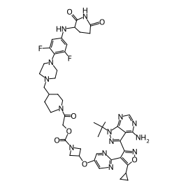 CC(C)(C)n1nc(-c2noc(C3CC3)c2-c2ncc(OC3CN(C(=O)OCC(=O)N4CCC(CN5CCN(c6c(F)cc(NC7CCC(=O)NC7=O)cc6F)CC5)CC4)C3)cn2)c2c(N)ncnc21